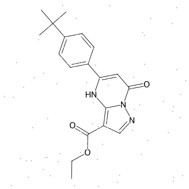 CCOC(=O)c1cnn2c(=O)cc(-c3ccc(C(C)(C)C)cc3)[nH]c12